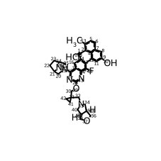 C#Cc1c(C)ccc2cc(O)cc(-c3c(F)cc4c(N5CC6CCC(C5)N6)nc(OCC5(CN6C[C@H]7COC[C@H]7C6)CC5)nc4c3F)c12